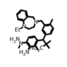 CCN1CCN(Cc2cc(C(c3ccc(N(C)N)c(N)c3C)C(C)(C)C(=O)O)ccc2C)Cc2ccccc21